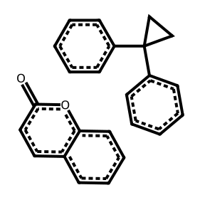 O=c1ccc2ccccc2o1.c1ccc(C2(c3ccccc3)CC2)cc1